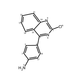 Nc1ccc(-c2nc(Cl)nc3ccccc23)cc1